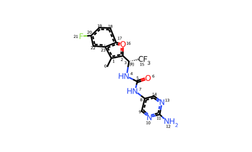 Cc1c([C@@H](NC(=O)Nc2cnc(N)nc2)C(F)(F)F)oc2ccc(F)cc12